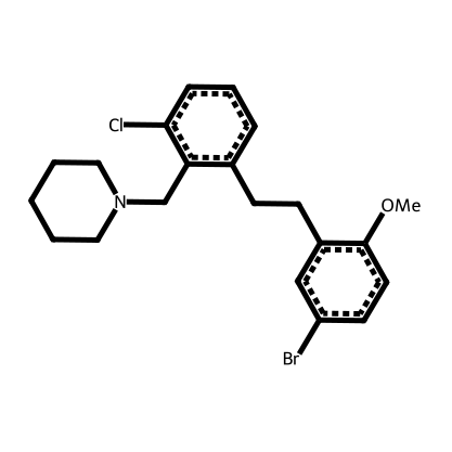 COc1ccc(Br)cc1CCc1cccc(Cl)c1CN1CCCCC1